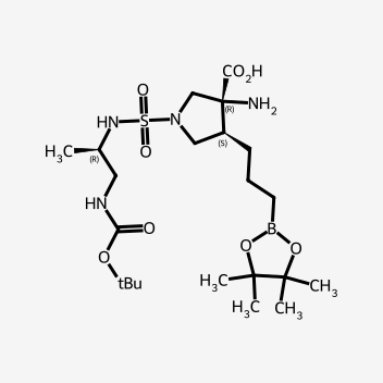 C[C@H](CNC(=O)OC(C)(C)C)NS(=O)(=O)N1C[C@H](CCCB2OC(C)(C)C(C)(C)O2)[C@](N)(C(=O)O)C1